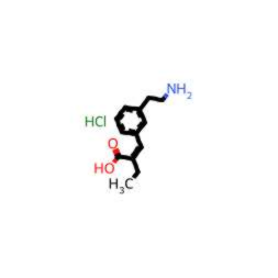 CCC(=Cc1cccc(CCN)c1)C(=O)O.Cl